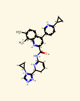 Cc1ccc2c(-c3ccc(C4CC4)nc3)cc(C(=O)NC3=NC(c4nncn4C4CC4)CC=C3)nc2c1C